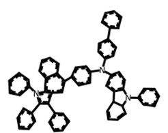 C1=CC2c3cc(N(c4ccc(-c5ccccc5)cc4)c4ccc(-c5cc6c(-c7ccccc7)c(-c7ccccc7)n(-c7ccccc7)c6c6ccccc56)cc4)ccc3N(c3ccccc3)C2C=C1